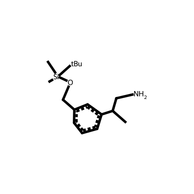 CC(CN)c1cccc(CO[Si](C)(C)C(C)(C)C)c1